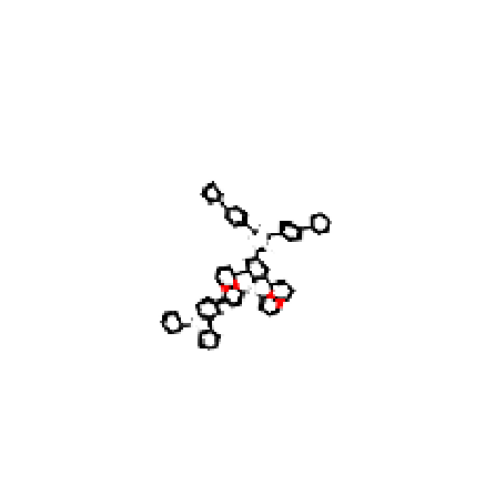 c1ccc(-c2ccc(-c3nc(-c4ccc(-c5ccccc5)cc4)nc(-c4cc(-c5ccccc5)c(N(c5ccccc5)c5ccc6c(c5)oc5c6ccc6c5c5ccccc5n6-c5ccccc5)c(-c5ccccc5)c4)n3)cc2)cc1